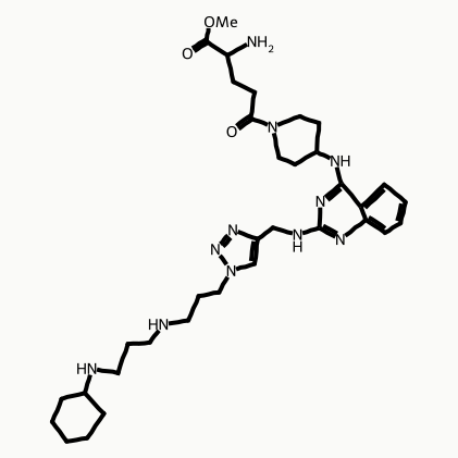 COC(=O)C(N)CCC(=O)N1CCC(Nc2nc(NCc3cn(CCCNCCCNC4CCCCC4)nn3)nc3ccccc23)CC1